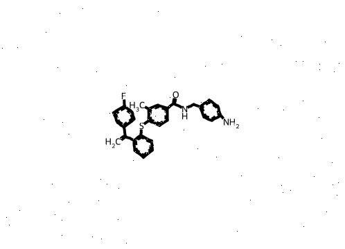 C=C(c1ccc(F)cc1)c1ccccc1Sc1ccc(C(=O)NCc2ccc(N)cc2)cc1C